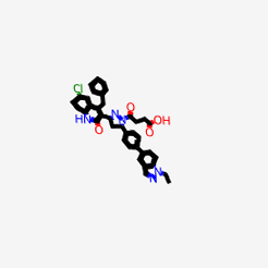 CCn1ncc2cc(-c3ccc(C4CC(c5c(Cc6ccccc6)c6cc(Cl)ccc6[nH]c5=O)=NN4C(=O)CCC(=O)O)cc3)ccc21